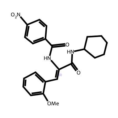 COc1ccccc1/C=C(\NC(=O)c1ccc([N+](=O)[O-])cc1)C(=O)NC1CCCCC1